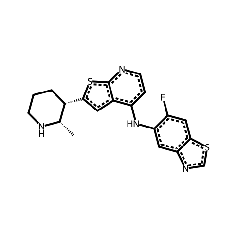 C[C@@H]1NCCC[C@@H]1c1cc2c(Nc3cc4ncsc4cc3F)ccnc2s1